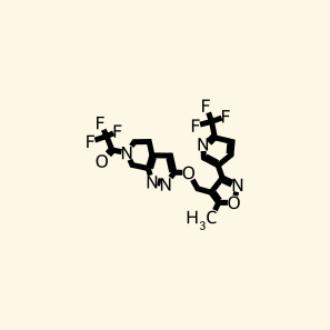 Cc1onc(-c2ccc(C(F)(F)F)nc2)c1COc1cc2c(nn1)CN(C(=O)C(F)(F)F)CC2